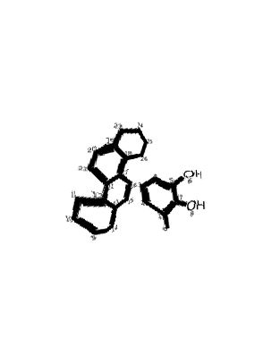 Cc1cccc(O)c1O.c1ccc2c(c1)ccc1c3c(ccc12)CCCC3